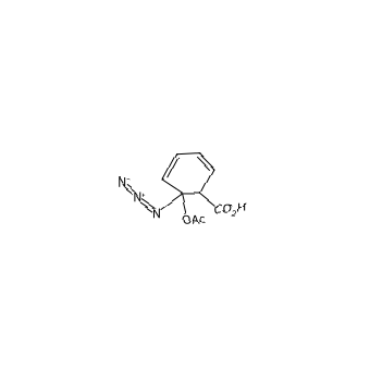 CC(=O)OC1(N=[N+]=[N-])C=CC=CC1C(=O)O